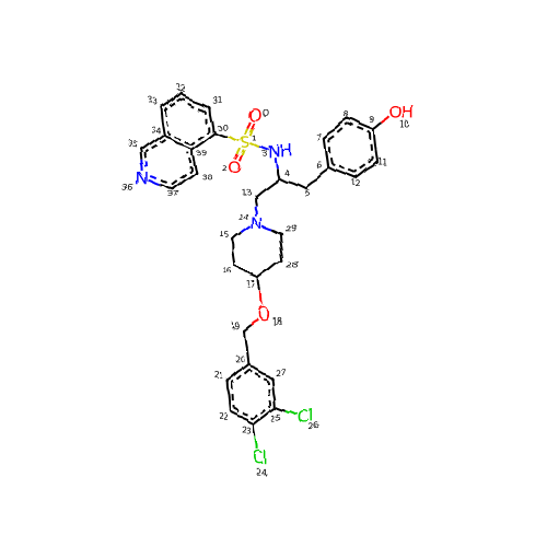 O=S(=O)(NC(Cc1ccc(O)cc1)CN1CCC(OCc2ccc(Cl)c(Cl)c2)CC1)c1cccc2cnccc12